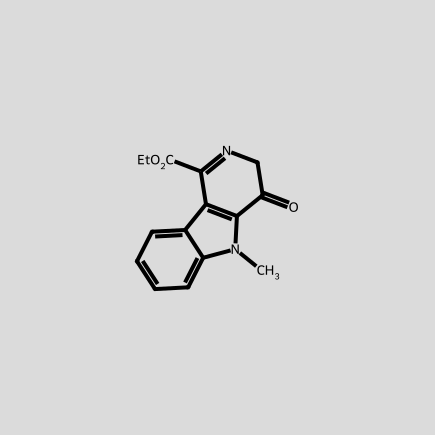 CCOC(=O)C1=NCC(=O)c2c1c1ccccc1n2C